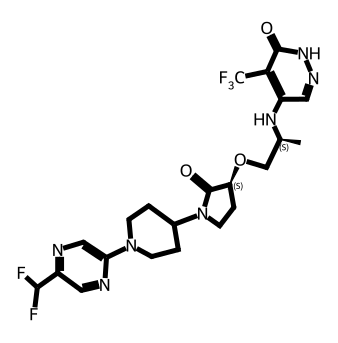 C[C@@H](CO[C@H]1CCN(C2CCN(c3cnc(C(F)F)cn3)CC2)C1=O)Nc1cn[nH]c(=O)c1C(F)(F)F